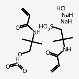 C=CC(=O)NC(C)(C)CO[SH](=O)=O.C=CC(=O)NC(C)(C)CS(=O)(=O)O.Cl.[NaH].[NaH]